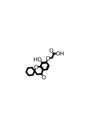 O=C(O)COc1ccc2c(c1O)OC1(CCCCC1)CC2=O